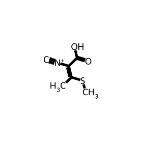 [C-]#[N+]/C(C(=O)O)=C(\C)SC